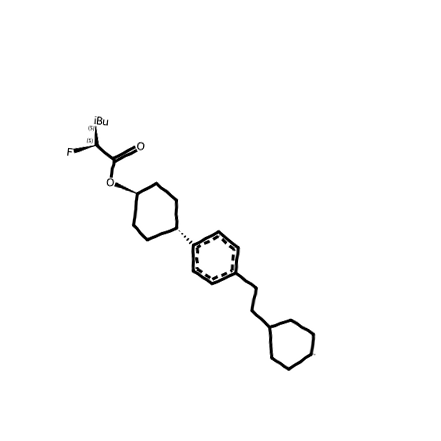 CC[C@H](C)[C@H](F)C(=O)O[C@H]1CC[C@H](c2ccc(CCC3CC[CH]CC3)cc2)CC1